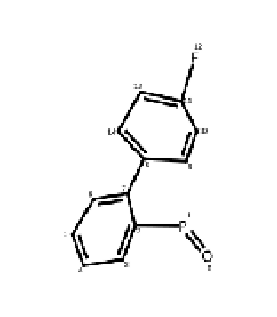 O=Pc1ccccc1-c1ccc(F)cc1